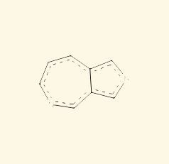 c1cncc2cncc-2c1